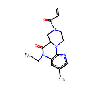 C=CC(=O)N1CCN2c3ncc(C(F)(F)F)cc3N(CC(F)(F)F)C(=O)C2C1